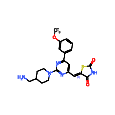 NCC1CCN(c2nc(/C=C3\SC(=O)NC3=O)cc(-c3cccc(OC(F)(F)F)c3)n2)CC1